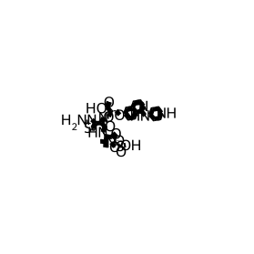 CC1(C)[C@H](NC(=O)/C(=N\O[C@@H](COc2ccc3c(NC4CCNCC4)nccc3c2)C(=O)O)c2csc(N)n2)C(=O)N1OS(=O)(=O)O